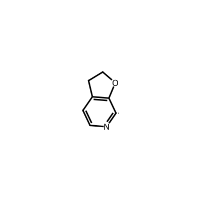 [c]1nccc2c1OCC2